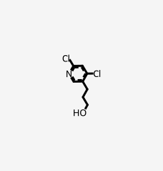 OCCCc1cnc(Cl)cc1Cl